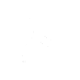 CC1(C)C(=O)N(C2C3CC4CC2CC(O)(C4)C3)N1c1cccc(Cl)c1Cl